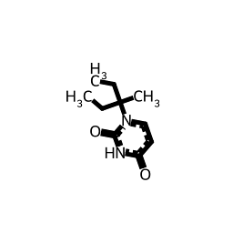 CCC(C)(CC)n1ccc(=O)[nH]c1=O